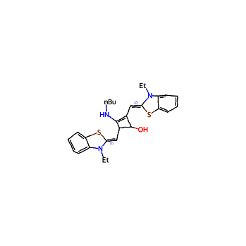 CCCCNC1=C(/C=C2\Sc3ccccc3N2CC)C(O)C1/C=C1\Sc2ccccc2N1CC